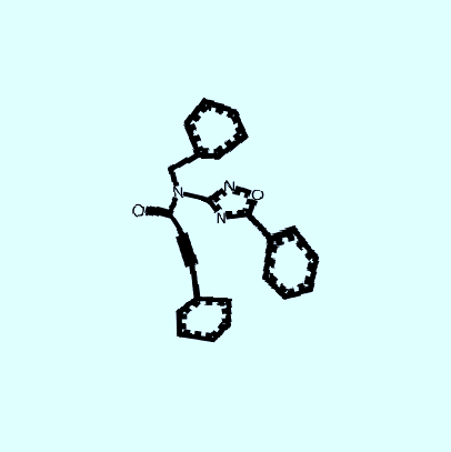 O=C(C#Cc1ccccc1)N(Cc1ccccc1)c1noc(-c2ccccc2)n1